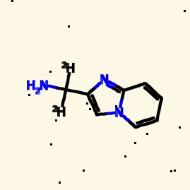 [2H]C([2H])(N)c1cn2ccccc2n1